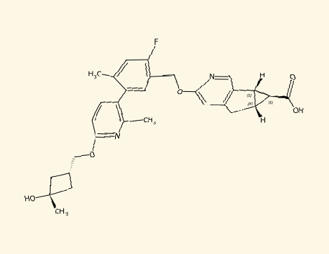 Cc1cc(F)c(COc2cc3c(cn2)[C@H]2[C@@H](C3)[C@@H]2C(=O)O)cc1-c1ccc(OC[C@H]2C[C@@](C)(O)C2)nc1C